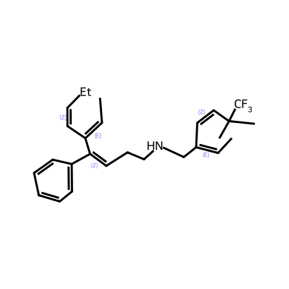 C/C=C(\C=C/C(C)(C)C(F)(F)F)CNCC\C=C(C(/C=C\CC)=C/C)\c1ccccc1